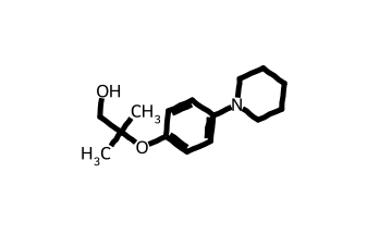 CC(C)(CO)Oc1ccc(N2CCCCC2)cc1